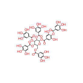 O=C(OCC1OC(OC(=O)c2cc(O)c(OC(=O)c3cc(O)c(O)c(O)c3)c(O)c2)C(OC(=O)c2cc(O)c(O)c(O)c2)C(OC(=O)c2cc(O)c(O)c(O)c2)C1OC(=O)c1cc(O)c(O)c(O)c1)c1cc(O)c(O)c(O)c1